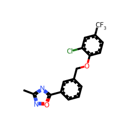 Cc1noc(-c2cccc(COc3ccc(C(F)(F)F)cc3Cl)c2)n1